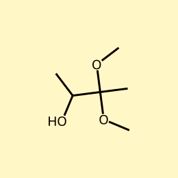 COC(C)(OC)C(C)O